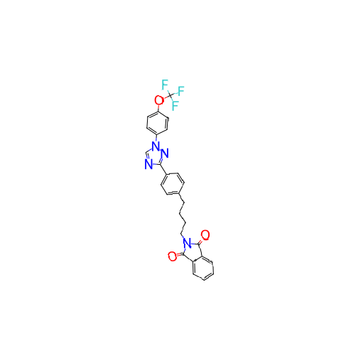 O=C1c2ccccc2C(=O)N1CCCCc1ccc(-c2ncn(-c3ccc(OC(F)(F)F)cc3)n2)cc1